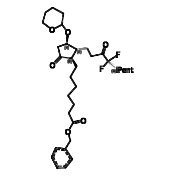 CCC[C@@H](C)C(F)(F)C(=O)CC[C@H]1[C@H](OC2CCCCO2)CC(=O)[C@@H]1CCCCCCC(=O)OCc1ccccc1